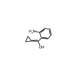 Nc1ccccc1C(O)=C1CC1